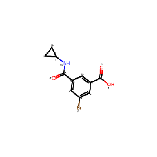 O=C(O)c1cc(Br)cc(C(=O)NC2CC2)c1